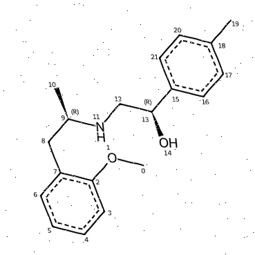 COc1ccccc1C[C@@H](C)NC[C@H](O)c1ccc(C)cc1